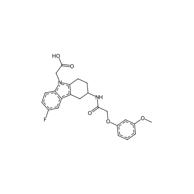 COc1cccc(OCC(=O)NC2CCc3c(c4cc(F)ccc4n3CC(=O)O)C2)c1